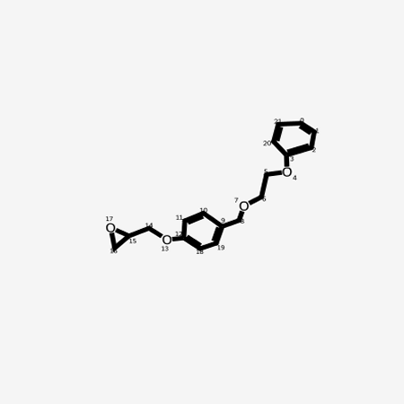 c1ccc(OCCOCc2ccc(OCC3CO3)cc2)cc1